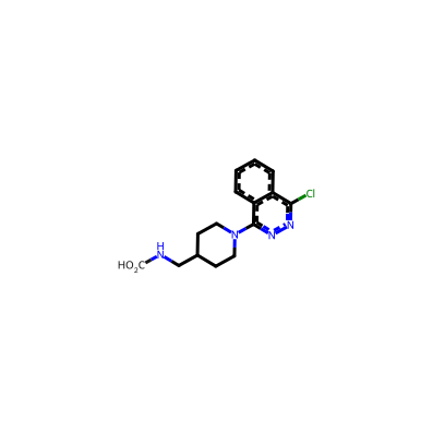 O=C(O)NCC1CCN(c2nnc(Cl)c3ccccc23)CC1